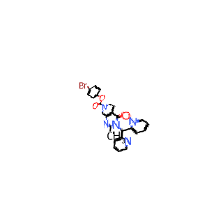 Cc1nc2c(c(=O)n1C(c1ccccn1)c1ccccn1)CCN(C(=O)Oc1ccc(Br)cc1)C2